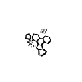 Cl.Cl.[CH3][Zr]([CH3])(=[SiH2])([C]1=CC=CC1)[CH]1CCCC2C1=C1Cc3ccccc3C1=C1C=CCCC12